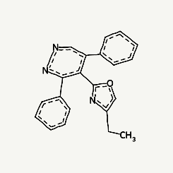 CCc1coc(-c2c(-c3ccccc3)cnnc2-c2ccccc2)n1